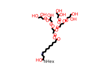 CCCCCC[C@@H](O)C/C=C\CCCCCCCC(=O)OOCC(COOCC(CO)OOCC(O)CO)OOCC(COOCC(O)CO)OOCC(O)CO